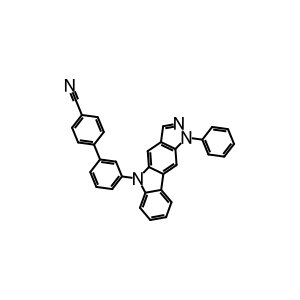 N#Cc1ccc(-c2cccc(-n3c4ccccc4c4cc5c(cnn5-c5ccccc5)cc43)c2)cc1